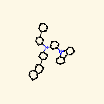 c1ccc(-c2cccc(N(c3ccc(-c4ccc5ccccc5c4)cc3)c3cccc(-n4c5ccccc5c5ccccc54)c3)c2)cc1